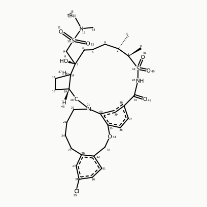 C[C@@H]1[C@@H](C)CCC[C@@](O)(CS(=O)(=O)N(C)C(C)(C)C)[C@@H]2CC[C@H]2CN2CCCCc3cc(Cl)ccc3COc3ccc(cc32)C(=O)NS1(=O)=O